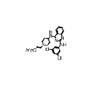 COCCN1CCC(Nc2nc(Nc3cc(Cl)cc(Cl)c3)nc3ccccc23)CC1